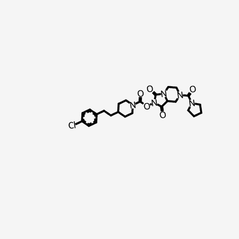 O=C(ON1C(=O)C2CN(C(=O)N3CCCC3)CCN2C1=O)N1CCC(CCc2ccc(Cl)cc2)CC1